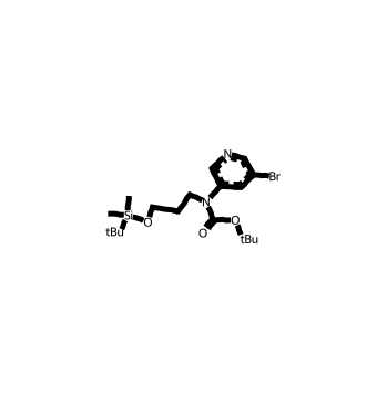 CC(C)(C)OC(=O)N(CCCO[Si](C)(C)C(C)(C)C)c1cncc(Br)c1